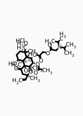 C=C[C@@]1(C)CC(=O)[C@]2(O)[C@@]3(C)[C@@H](O)CCC(C)(C)[C@@H]3[C@H](OC(=O)COC(=O)CN(C(C)C)C(C)C)[C@H](OC(C)=O)[C@@]2(C)O1.Cl.O